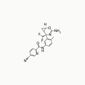 Cc1ccc(NC(=O)c2ccc(C#N)cn2)cc1[C@@]1(C(F)F)N=C(N)O[C@@H]2CC21